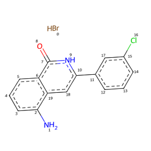 Br.Nc1cccc2c(=O)[nH]c(-c3cccc(Cl)c3)cc12